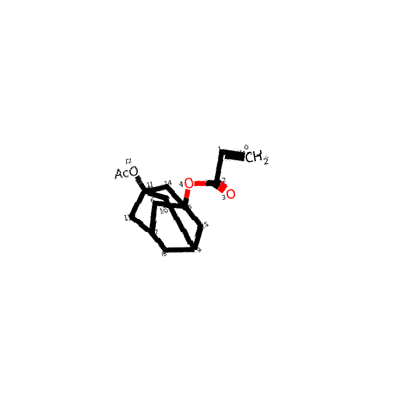 C=CC(=O)OC12CC3CC(CC(OC(C)=O)(C3)C1)C2